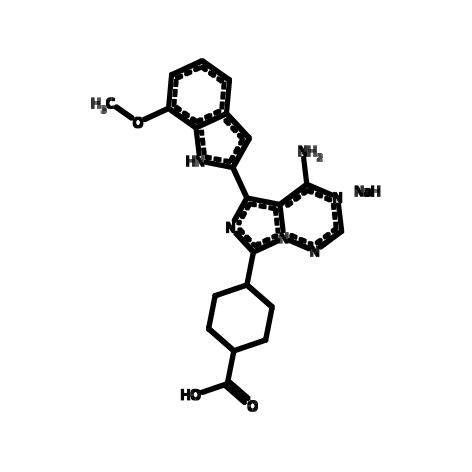 COc1cccc2cc(-c3nc(C4CCC(C(=O)O)CC4)n4ncnc(N)c34)[nH]c12.[NaH]